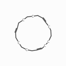 C1=C\CCCCC/C=C/CCCCC/C=C/CCCCC/1